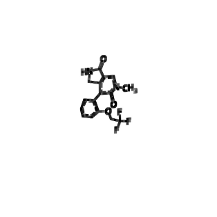 Cn1cc2c(c(-c3ccccc3OCC(F)(F)F)c1=O)CNC2=O